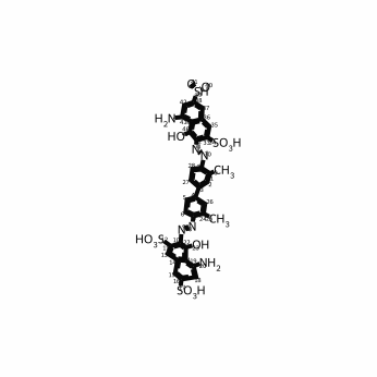 Cc1cc(-c2ccc(/N=N/c3c(S(=O)(=O)O)cc4cc(S(=O)(=O)O)cc(N)c4c3O)c(C)c2)ccc1/N=N/c1c(S(=O)(=O)O)cc2cc([SH](=O)=O)cc(N)c2c1O